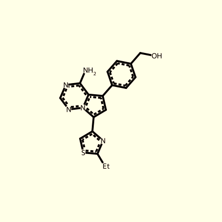 CCc1nc(-c2cc(-c3ccc(CO)cc3)c3c(N)ncnn23)cs1